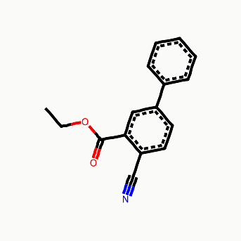 CCOC(=O)c1cc(-c2ccccc2)ccc1C#N